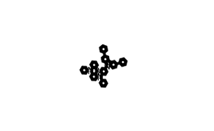 c1ccc(-c2ccc3c(c2)c2cc(-c4ccccc4)ccc2n3-c2ccc3c(c2)B2c4ccccc4N(c4ccccc4)c4cccc(c42)N3c2ccccc2)cc1